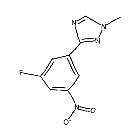 Cn1cnc(-c2cc(F)cc([N+](=O)[O-])c2)n1